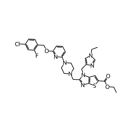 CCOC(=O)c1cc2c(nc(CN3CCN(c4cccc(OCc5ccc(Cl)cc5F)n4)CC3)n2Cc2cn(CC)cn2)s1